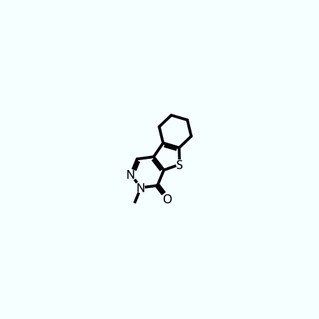 Cn1ncc2c3c(sc2c1=O)CCCC3